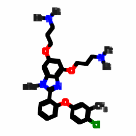 CCCCn1c(-c2ccccc2Oc2ccc(Cl)c(C(F)(F)F)c2)nc2c(OCCCN(CC)CC)cc(OCCCN(CC)CC)cc21